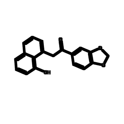 O=C(Cc1cccc2cccc(O)c12)c1ccc2c(c1)OCO2